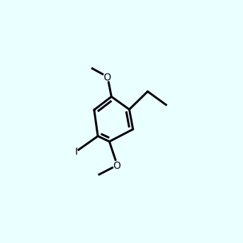 CCc1cc(OC)c(I)cc1OC